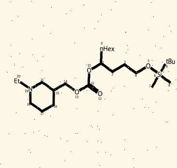 CCCCCCC(CCCO[Si](C)(C)C(C)(C)C)OC(=O)OCC1CCCN(CC)C1